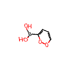 OB(O)C1=CC=COO1